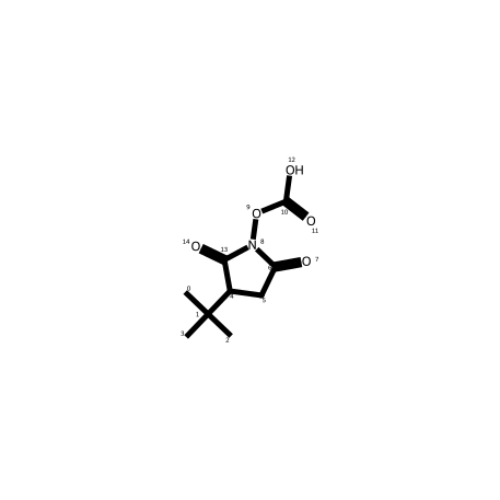 CC(C)(C)C1CC(=O)N(OC(=O)O)C1=O